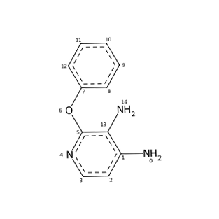 Nc1ccnc(Oc2ccccc2)c1N